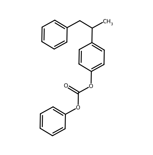 CC(Cc1ccccc1)c1ccc(OC(=O)Oc2ccccc2)cc1